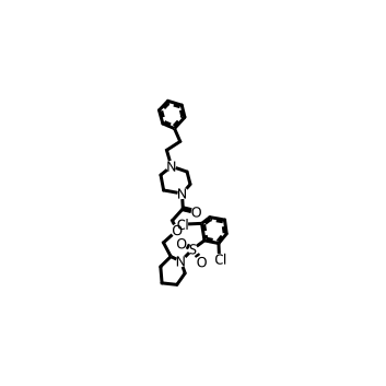 O=C(COCC1CCCCN1S(=O)(=O)c1c(Cl)cccc1Cl)N1CCN(CCc2ccccc2)CC1